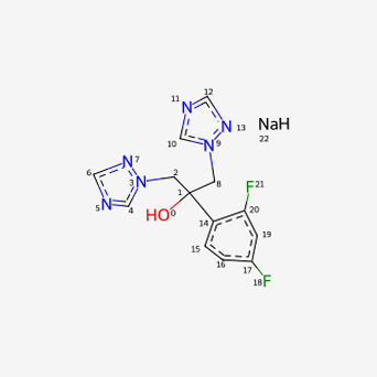 OC(Cn1cncn1)(Cn1cncn1)c1ccc(F)cc1F.[NaH]